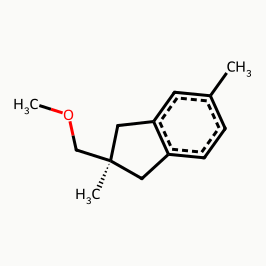 COC[C@]1(C)Cc2ccc(C)cc2C1